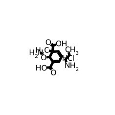 CC1(C(=O)O)C=CC=C(C(=O)O)C1ON.CCCN.Cl